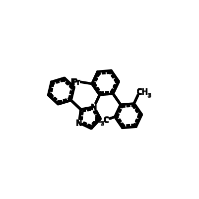 Cc1cccc(C)c1-c1cccc(C(C)C)c1-n1ccnc1-c1ccccc1